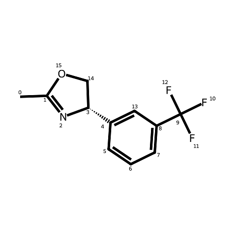 CC1=N[C@@H](c2cccc(C(F)(F)F)c2)CO1